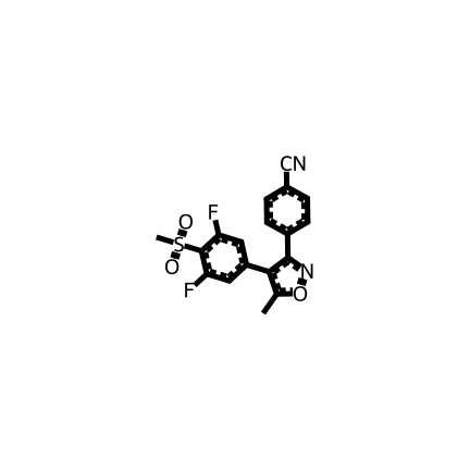 Cc1onc(-c2ccc(C#N)cc2)c1-c1cc(F)c(S(C)(=O)=O)c(F)c1